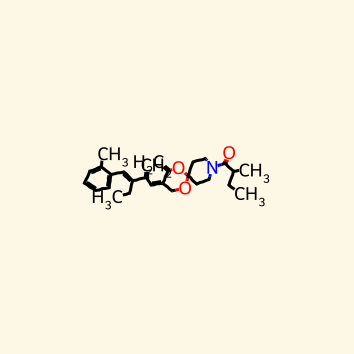 C=C1OC2(CCN(C(=O)C(C)CC)CC2)OC/C1=C/C(=C)/C(=C/c1ccccc1C)CC